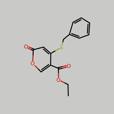 CCOC(=O)c1coc(=O)cc1SCc1ccccc1